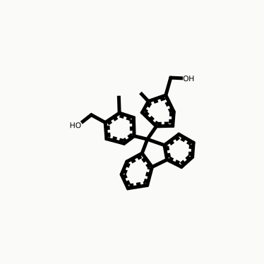 Cc1cc(C2(c3ccc(CO)c(C)c3)c3ccccc3-c3ccccc32)ccc1CO